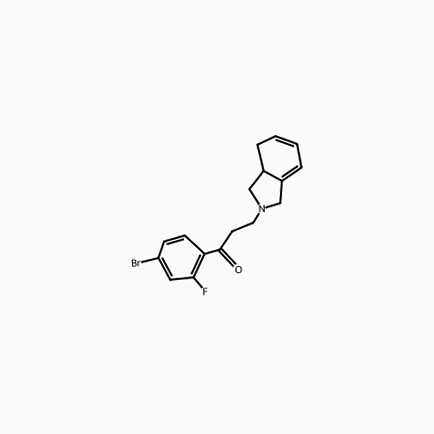 O=C(CCN1CC2=CC=CCC2C1)c1ccc(Br)cc1F